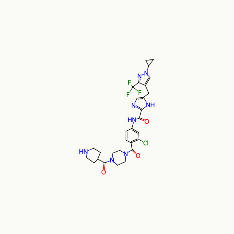 O=C(Nc1ccc(C(=O)N2CCN(C(=O)C3CCNCC3)CC2)c(Cl)c1)c1ncc(Cc2cn(C3CC3)nc2C(F)(F)F)[nH]1